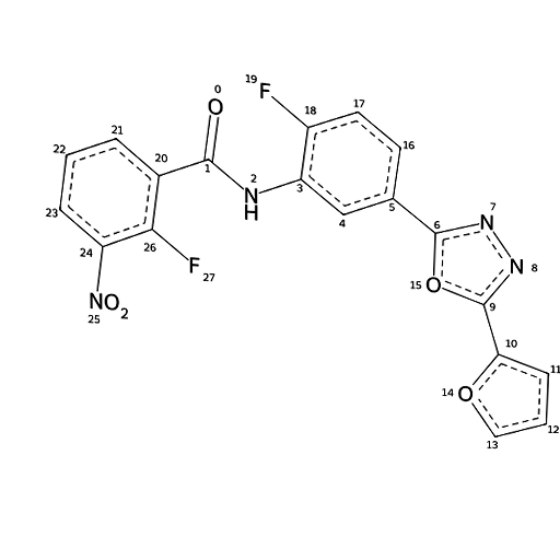 O=C(Nc1cc(-c2nnc(-c3ccco3)o2)ccc1F)c1cccc([N+](=O)[O-])c1F